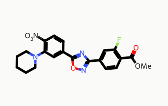 COC(=O)c1ccc(-c2noc(-c3ccc([N+](=O)[O-])c(N4CCCCC4)c3)n2)cc1F